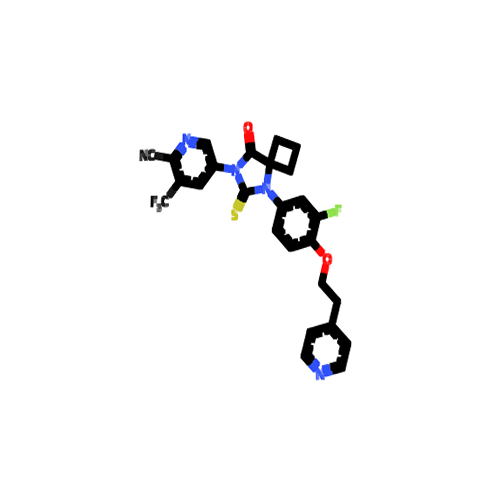 N#Cc1ncc(N2C(=O)C3(CCC3)N(c3ccc(OCCc4ccncc4)c(F)c3)C2=S)cc1C(F)(F)F